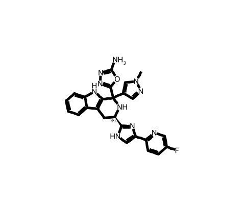 Cn1cc(C2(c3nnc(N)o3)N[C@@H](c3nc(-c4ccc(F)cn4)c[nH]3)Cc3c2[nH]c2ccccc32)cn1